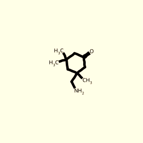 CC1(C)CC(=O)CC(C)(CN)C1